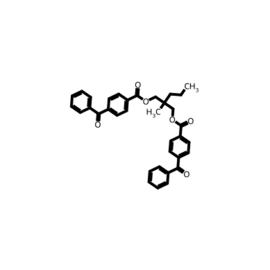 CCCC(C)(COC(=O)c1ccc(C(=O)c2ccccc2)cc1)COC(=O)c1ccc(C(=O)c2ccccc2)cc1